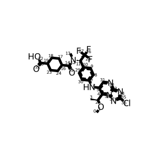 CO[C@@H](C)c1c(Nc2ccc([C@H](N(C)C(=O)C3CCC(C(=O)O)CC3)C(F)(F)F)cc2)cnc2nc(Cl)nn12